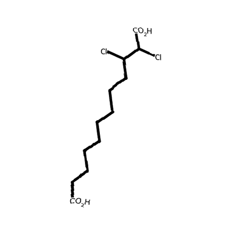 O=C(O)CCCCCCCCC(Cl)C(Cl)C(=O)O